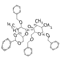 CC1[C@H](OCc2ccccc2)OC(COCc2ccccc2)[C@@H](O[C@@H]2OC3COC(c4ccccc4)O[C@H]3[C@H](C)C2OCc2ccccc2)[C@@H]1C